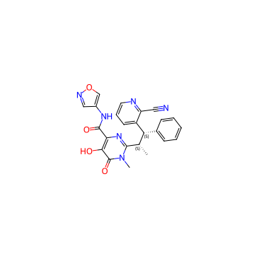 C[C@H](c1nc(C(=O)Nc2cnoc2)c(O)c(=O)n1C)[C@@H](c1ccccc1)c1cccnc1C#N